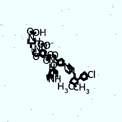 CC1(C)CCC(CN2CCN(c3ccc(C(=O)NS(=O)(=O)c4cc5c(c([N+](=O)[O-])c4)N[C@@H](CC4CCN(C(=O)O)CC4)CO5)c(Oc4cnc5[nH]ccc5c4)c3)CC2)=C(c2ccc(Cl)cc2)C1